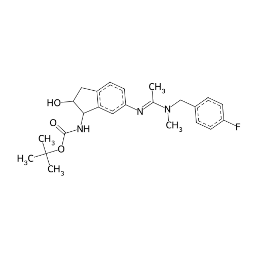 C/C(=N\c1ccc2c(c1)C(NC(=O)OC(C)(C)C)C(O)C2)N(C)Cc1ccc(F)cc1